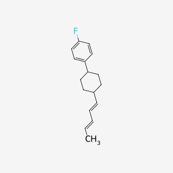 CC=CC=CC1CCC(c2ccc(F)cc2)CC1